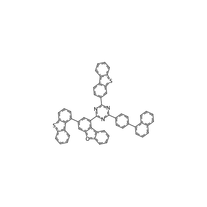 c1ccc2c(-c3ccc(-c4nc(-c5ccc6c(c5)sc5ccccc56)nc(-c5cc(-c6cccc7sc8ccccc8c67)cc6oc7ccccc7c56)n4)cc3)cccc2c1